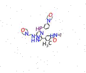 Cc1cc(-c2cnn3c(NCCN4CCOCC4)cc(Pc4cccc(N5CCOCC5)c4)nc23)ccc1C(=O)NC1CC1